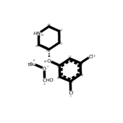 CC(C)(C)OC=O.Clc1cc(Cl)cc(O[C@H]2CCCNC2)c1